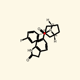 O=C1Cc2ccc(C(=O)N3[C@@H]4CC[C@H]3C[C@@H](c3ccc(F)cc3)C4)cc2N1